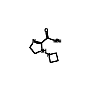 [CH2]CCCC(=O)C1=NCC[SH]1N1CCC1